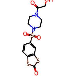 O=C(CO)N1CCN(S(=O)(=O)c2ccc3sc(=O)sc3c2)CC1